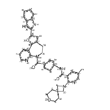 Cc1cnc(N2CC3(CCOCC3)C2)c(C(=O)Nc2ccc(C(=O)N3CCc4cc(-c5nc6ccccc6[nH]5)oc4-c4cccnc43)cc2)c1